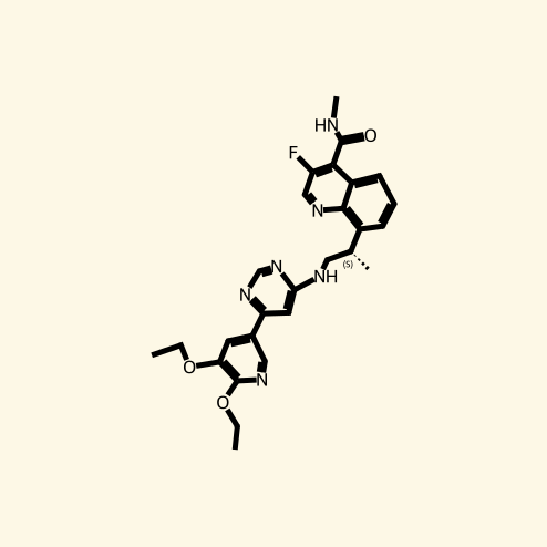 CCOc1cc(-c2cc(NC[C@@H](C)c3cccc4c(C(=O)NC)c(F)cnc34)ncn2)cnc1OCC